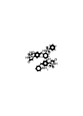 N[C@@H]1CCCC[C@H]1Cc1ccc(N2CC(=O)NS2(=O)=O)c(O)c1.O=C1CN(c2ccc(C[C@@H]3CCCC[C@H]3NS(=O)(=O)c3ccccc3)cc2O)S(=O)(=O)N1